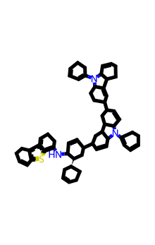 C1=CCCC(N2C3CCC(C4C=CC5C(C4)C4CC(C6C=CC(NC7=c8sc9c(c8=CCC7)CCC=C9)C([C@H]7CC=CCC7)C6)C=CC4N5C4=CC=CCC4)C=C3C3CCC=CC32)=C1